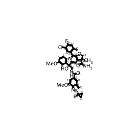 COc1cccc([C@](O)(CNC(=O)c2cc(OC)c3nn(C4(F)CC4)cc3c2)c2cc3c(c(-c4cc(Cl)c(F)cc4F)n2)OC[C@]3(C)C(N)=O)c1